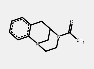 CC(=O)N1CCN2CC1Cc1ccccc12